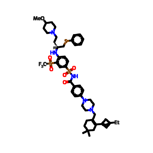 CCC12CC(C3=C(CN4CCN(c5ccc(C(=O)NS(=O)(=O)c6ccc(N[C@H](CCN7CCC(OC)CC7)CSc7ccccc7)c(S(=O)(=O)C(F)(F)F)c6)cc5)CC4)CCC(C)(C)C3)(C1)C2